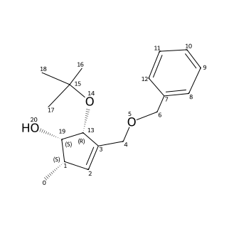 C[C@H]1C=C(COCc2ccccc2)[C@@H](OC(C)(C)C)[C@H]1O